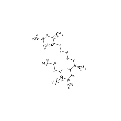 C=C(CCCCCCC(=C)CC(CCC)CCCCCC)CCC(CCC)N(C)CCCN